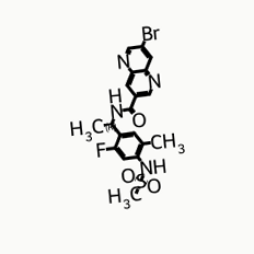 Cc1cc([C@@H](C)NC(=O)c2cnc3cc(Br)cnc3c2)c(F)cc1NS(C)(=O)=O